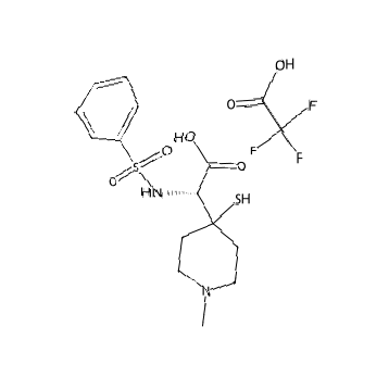 CN1CCC(S)([C@H](NS(=O)(=O)c2ccccc2)C(=O)O)CC1.O=C(O)C(F)(F)F